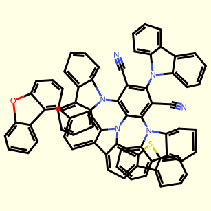 N#Cc1c(-n2c3ccccc3c3ccccc32)c(C#N)c(-n2c3ccccc3c3ccccc32)c(-n2c3cc(-c4cccc5oc6ccccc6c45)ccc3c3ccc4c5ccccc5sc4c32)c1-n1c2ccccc2c2ccccc21